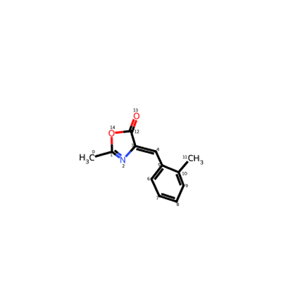 CC1=NC(=Cc2ccccc2C)C(=O)O1